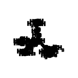 COC(C)(C)P(=O)(O)OC[C@H]1O[C@@H](n2cnc3c(C)ncnc32)C[C@@H]1OC(C)(C)P(=O)(O)OC[C@@H]1C[C@@H](O)CN1C(=O)CCCCCCCCC(=O)NC(COCCC(=O)NCCCNC(=O)CCCCO[C@@H]1OC(CO)[C@H](O)C(O)[C@@H]1C)(COCCC(=O)NCCCNC(=O)CCCCO[C@@H]1OC(CO)[C@H](O)C(O)[C@@H]1C)COCCC(=O)NCCCNC(=O)CCCCO[C@@H]1OC(CO)[C@H](O)C(O)[C@@H]1C